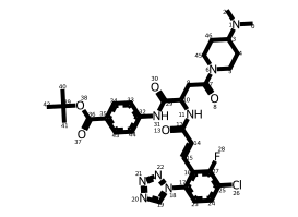 CN(C)C1CCN(C(=O)CC(NC(=O)C=Cc2c(-n3cnnn3)ccc(Cl)c2F)C(=O)Nc2ccc(C(=O)OC(C)(C)C)cc2)CC1